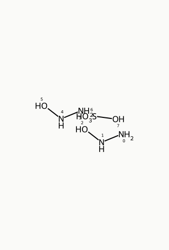 NNO.NNO.O=S(=O)(O)O